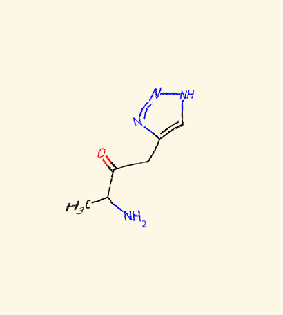 CC(N)C(=O)Cc1c[nH]nn1